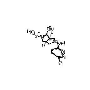 CC(C)(C)C1[C@H]2C[C@H](Nc3ccc(Cl)nn3)C[C@H]2CN1C(=O)O